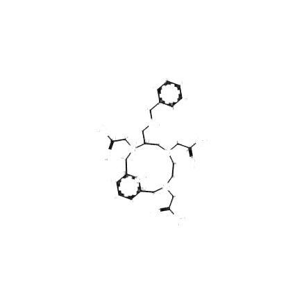 O=C(O)CN1CCN(CC(=O)O)CC(COCc2ccccc2)N(CC(=O)O)Cc2cccc(n2)C1